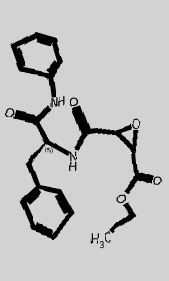 CCOC(=O)C1OC1C(=O)N[C@@H](Cc1ccccc1)C(=O)Nc1ccccc1